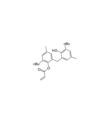 C=CC(=O)Oc1c(CCCC)cc(C)cc1Cc1cc(C)cc(CCCC)c1O